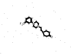 O=C1CCC(CCN2CCN(c3cccc(C(F)(F)F)c3)CC2)CC1